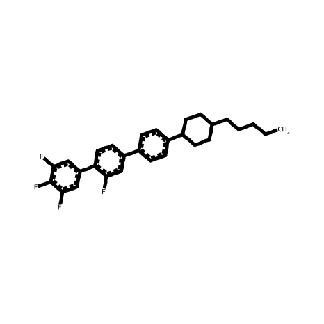 CCCCCC1CCC(c2ccc(-c3ccc(-c4cc(F)c(F)c(F)c4)c(F)c3)cc2)CC1